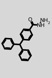 NNC(=O)c1ccc(C(c2ccccc2)c2ccccc2)cc1